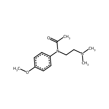 COc1ccc(N(CCN(C)C)C(C)=O)cc1